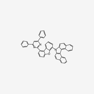 c1ccc(-c2cc(-c3ccccc3)nc(-c3cccc4oc5c(-n6c7ccc8ccccc8c7c7c8ccccc8ccc76)cccc5c34)n2)cc1